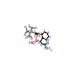 CC(C)[Si](C#Cc1cccc2nc(N)cc(N(O)O)c12)(C(C)C)C(C)C